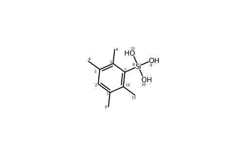 Cc1cc(C)c(C)c([Si](O)(O)O)c1C